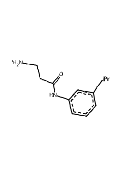 CC(C)c1cccc(NC(=O)CCN)c1